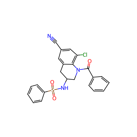 N#Cc1cc(Cl)c2c(c1)CC(NS(=O)(=O)c1ccccc1)CN2C(=O)c1ccccc1